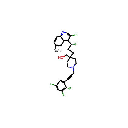 COc1ccc2ncc(Cl)c([C@@H](F)CCC3(CO)CCN(CC#Cc4cc(F)cc(F)c4F)CC3)c2c1